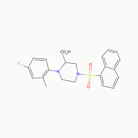 Cc1cc(F)ccc1N1CCN(S(=O)(=O)c2cccc3ccccc23)CC1C(=O)O